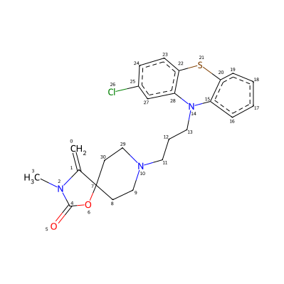 C=C1N(C)C(=O)OC12CCN(CCCN1c3ccccc3Sc3ccc(Cl)cc31)CC2